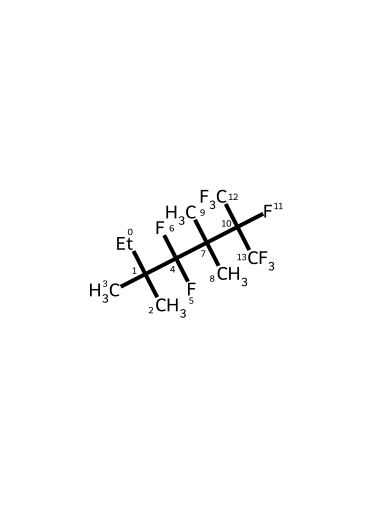 CCC(C)(C)C(F)(F)C(C)(C)C(F)(C(F)(F)F)C(F)(F)F